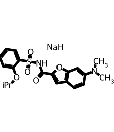 CC(C)Oc1ccccc1S(=O)(=O)NC(=O)c1cc2ccc(N(C)C)cc2o1.[NaH]